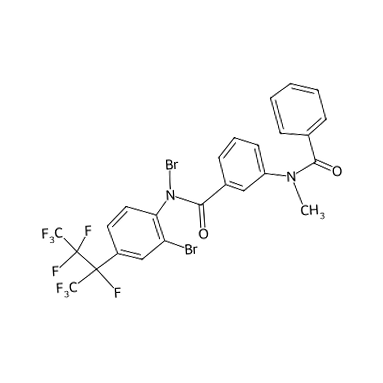 CN(C(=O)c1ccccc1)c1cccc(C(=O)N(Br)c2ccc(C(F)(C(F)(F)F)C(F)(F)C(F)(F)F)cc2Br)c1